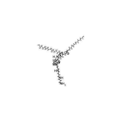 CCCCCCCCCCCCCCCC(=O)OCC(CSC[C@H](N)C(=O)N[C@@H](CO)C(=O)NCCCNCCCCNCCCN)OC(=O)CCCCCCCCCCCCCCC